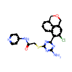 Nc1nc(SCC(=O)Nc2ccncc2)nc(-c2c(Cl)cc3c4c(cccc24)COC3)n1